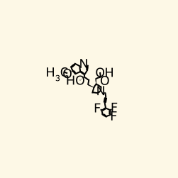 COc1ccc2nccc([C@@H](O)CC[C@@H]3CCN(CC#Cc4c(F)ccc(F)c4F)C[C@@H]3CC(=O)O)c2c1